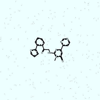 Cn1c(NCC(=O)c2ccccc2-c2ccco2)nc(-c2ccncn2)cc1=O